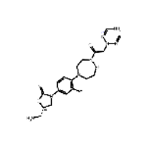 C=NN(CC(=O)N1CCN(c2ccc(N3C[C@H](CN)OC3=O)cc2F)CCN1)/N=C\N